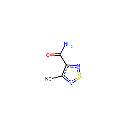 N#Cc1nsnc1C(N)=O